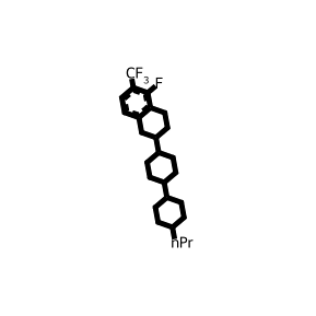 CCCC1CCC(C2CCC(C3CCc4c(ccc(C(F)(F)F)c4F)C3)CC2)CC1